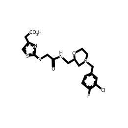 O=C(O)Cc1csc(SCC(=O)NCC2CN(Cc3ccc(F)c(Cl)c3)CCO2)n1